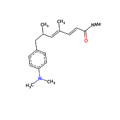 CNC(=O)/C=C/C(C)=C/C(C)Cc1ccc(N(C)C)cc1